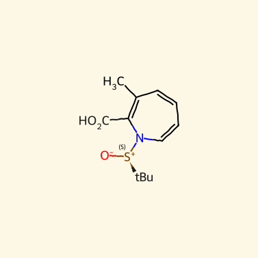 CC1=C(C(=O)O)N([S@+]([O-])C(C)(C)C)C=CC=C1